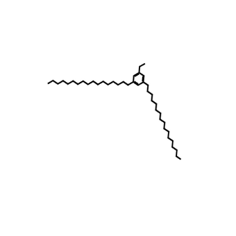 CCCCCCCCCCCCCCCCCc1cc(CC)cc(CCCCCCCCCCCCCCCCC)c1